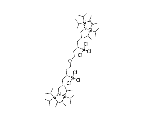 CC(C)[Si](C(C)C)(C(C)C)N(CCCC(CCOCCC(CCCN([Si](C(C)C)(C(C)C)C(C)C)[Si](C(C)C)(C(C)C)C(C)C)[Si](Cl)(Cl)Cl)[Si](Cl)(Cl)Cl)[Si](C(C)C)(C(C)C)C(C)C